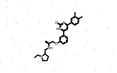 C=C(COc1cccc(-c2cc(-c3ccc(C)c(C)c3)nc(=O)[nH]2)c1)NCC1CCCN1CC